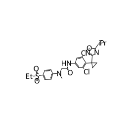 CCS(=O)(=O)c1ccc(N(C)CC(=O)Nc2cc(Cl)c(C3(c4noc(C(C)C)n4)CC3)c(Cl)c2)cc1